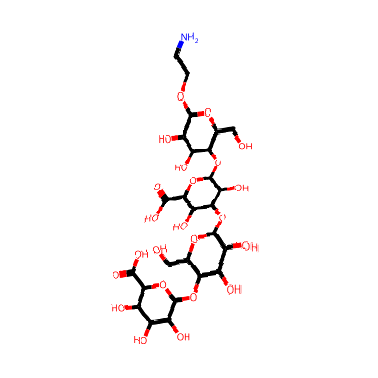 NCCOC1OC(CO)C(OC2OC(C(=O)O)C(O)C(OC3OC(CO)C(OC4OC(C(=O)O)C(O)C(O)C4O)C(O)C3O)C2O)C(O)C1O